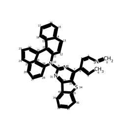 C=N/C=C\C(=C/C)c1nc(N2c3ccc4ccccc4c3-c3cccc4cccc2c34)nc2c1sc1ccccc12